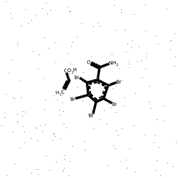 C=CC(=O)O.NC(=O)c1c(Br)c(Br)c(Br)c(Br)c1Br